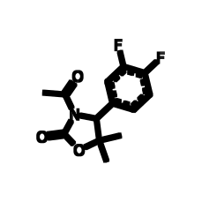 CC(=O)N1C(=O)OC(C)(C)C1c1ccc(F)c(F)c1